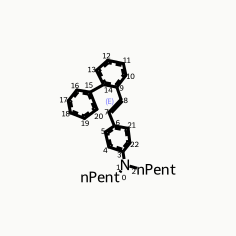 CCCCCN(CCCCC)c1ccc(/C=C/c2ccccc2-c2ccccc2)cc1